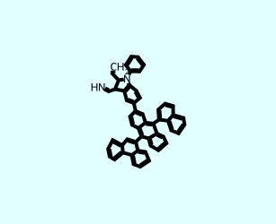 C=CC1C(C=N)c2cc(-c3ccc4c(-c5cc6ccccc6c6ccccc56)c5ccccc5c(-c5cccc6ccccc56)c4c3)ccc2N1c1ccccc1